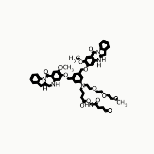 COCCOCCOCCN(CCCC(=O)ONC(=O)CCC=O)c1cc(COc2cc3c(cc2OC)C(=O)N2c4ccccc4C[C@H]2CN3)cc(COc2cc3c(cc2OC)C(=O)N2c4ccccc4C[C@H]2N3)c1